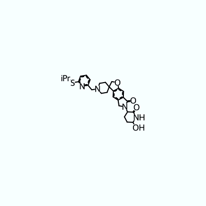 CC(C)Sc1cccc(CN2CCC3(CC2)COc2cc4c(cc23)CN(C2CCC(O)NC2=O)C4=O)n1